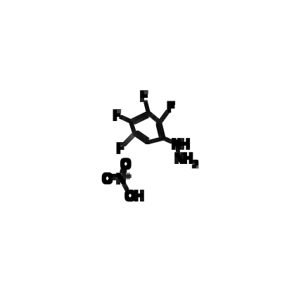 NNc1cc(F)c(F)c(F)c1F.O=[N+]([O-])O